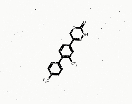 O=C1NN=C(c2ccc(-c3ccc(C(F)(F)F)cc3)c(C(F)(F)F)c2)CO1